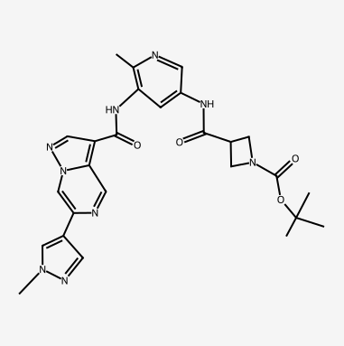 Cc1ncc(NC(=O)C2CN(C(=O)OC(C)(C)C)C2)cc1NC(=O)c1cnn2cc(-c3cnn(C)c3)ncc12